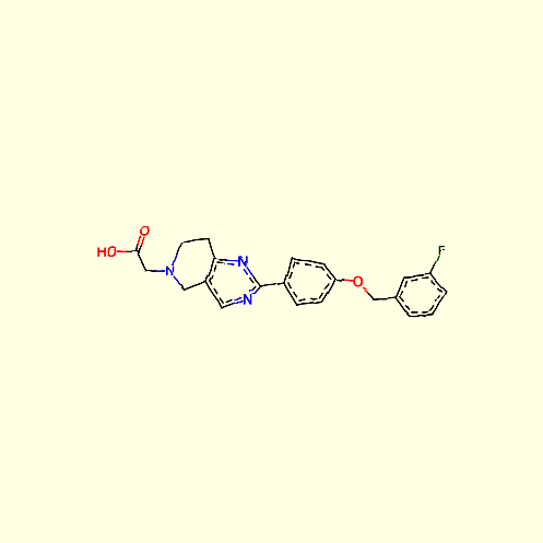 O=C(O)CN1CCc2nc(-c3ccc(OCc4cccc(F)c4)cc3)ncc2C1